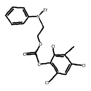 CCN(CCOC(=O)Oc1c(Cl)cc(Cl)c(C)c1Cl)c1ccccc1